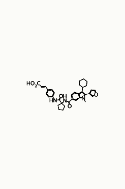 Cn1c(-c2ccoc2)c(C2CCCCC2)c2ccc(C(=O)NC3(C(=O)Nc4ccc(/C=C/C(=O)O)cc4)CCCC3)cc21